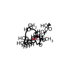 C=C1C[C@@H]2CC[C@@]3(O)C[C@@H](O)[C@@H]4C[C@@H]5[C@H]4O[C@H]4CC[C@@H]6CC(=O)C[C@@H]7[C@@H](OC)[C@@H](C[C@H](O)COC(=O)C8(O)CC8)O[C@H]7C[C@H]7O[C@@H](CC[C@@H]1O2)C[C@@H](C)/C7=N/[C@@]4(O6)[C@@H]5O3